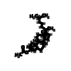 CC(=O)O[C@H]1CC[C@@]2(C)C(CC[C@H]3[C@@H]4CC[C@H](C(C)CCCC(C)C)[C@@]4(C)CC[C@@H]32)C1